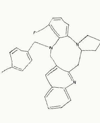 Cc1ccc(CN2Cc3cc4ccccc4nc3CC3CCCN3c3cccc(F)c32)cc1